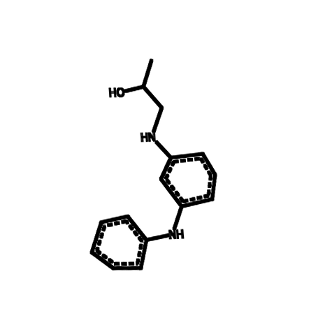 CC(O)CNc1cccc(Nc2ccccc2)c1